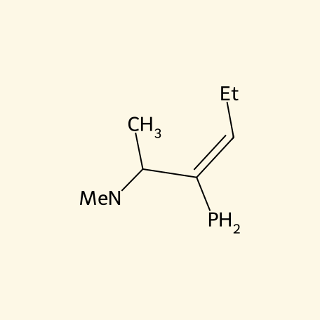 CC/C=C(/P)C(C)NC